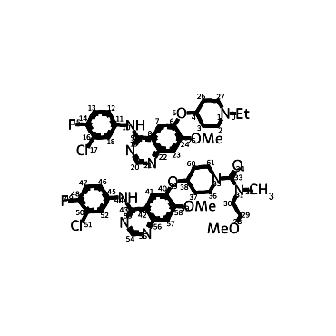 CCN1CCC(Oc2cc3c(Nc4ccc(F)c(Cl)c4)ncnc3cc2OC)CC1.COCCN(C)C(=O)N1CCC(Oc2cc3c(Nc4ccc(F)c(Cl)c4)ncnc3cc2OC)CC1